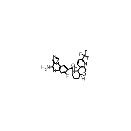 Nc1nc2cc(F)c(C(=O)N3CCC[C@@H]4OCc5nc(C(F)(F)F)ccc5[C@@H]43)cc2n2cncc12